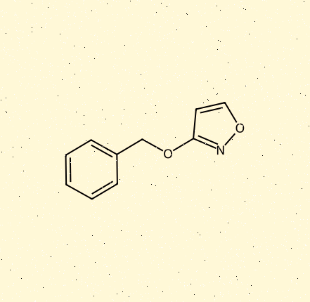 c1ccc(COc2ccon2)cc1